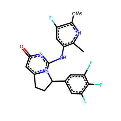 COc1nc(C)c(Nc2nc(=O)cc3n2C(c2cc(F)c(F)c(F)c2)CC3)cc1F